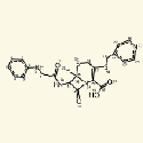 O=C(CNc1ccccc1)NC1C(=O)N2C(C(=O)O)=C(SCc3ccncc3)CS[C@@H]12